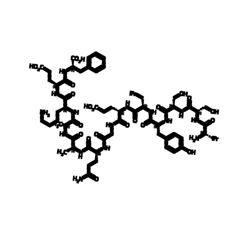 CC(C)C[C@H](NC(=O)[C@H](Cc1ccc(O)cc1)NC(=O)[C@H](CO)NC(=O)[C@H](CO)NC(=O)[C@@H](N)C(C)C)C(=O)N[C@@H](CCC(=O)O)C(=O)NCC(=O)N[C@@H](CCC(N)=O)C(=O)N[C@@H](C)C(=O)N[C@@H](C)C(=O)N[C@@H](CCCCN)C(=O)N[C@@H](CCC(=O)O)C(=O)N[C@@H](Cc1ccccc1)C(=O)O